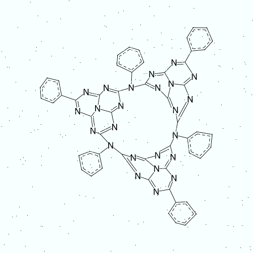 c1ccc(C2=NC3=NC4=NC5=NC(=NC(=N2)N35)N(c2ccccc2)C2=NC3=NC(=NC5=NC(c6ccccc6)=NC(=N2)N53)N(c2ccccc2)C2=NC3=NC(=NC5=NC(c6ccccc6)=NC(=N2)N53)N4c2ccccc2)cc1